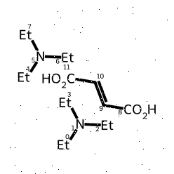 CCN(CC)CC.CCN(CC)CC.O=C(O)/C=C/C(=O)O